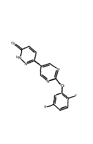 O=c1ccc(-c2cnc(Oc3cc(F)ccc3F)nc2)n[nH]1